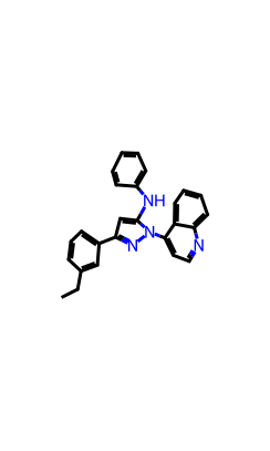 CCc1cccc(-c2cc(Nc3ccccc3)n(-c3ccnc4ccccc34)n2)c1